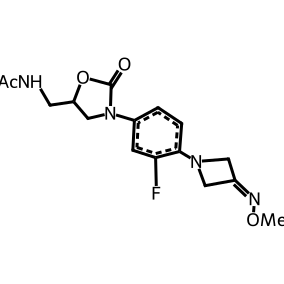 CON=C1CN(c2ccc(N3CC(CNC(C)=O)OC3=O)cc2F)C1